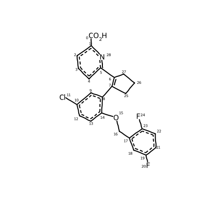 O=C(O)c1cccc(C2=C(c3cc(Cl)ccc3OCc3cc(F)ccc3F)CCC2)n1